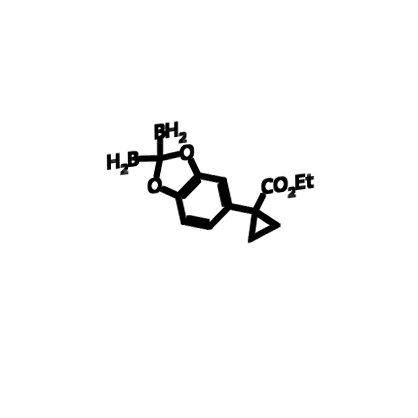 BC1(B)Oc2ccc(C3(C(=O)OCC)CC3)cc2O1